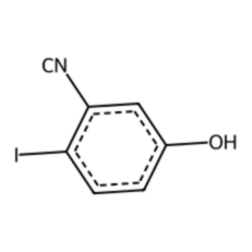 [C-]#[N+]c1cc(O)ccc1I